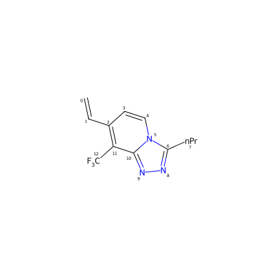 C=Cc1ccn2c(CCC)nnc2c1C(F)(F)F